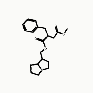 COC(=O)CC(Cc1ccccc1)C(=O)OCC1CCN2CCCC12